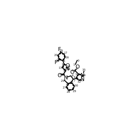 CCOC(=O)c1c(C2CN(C(=O)c3cc(-c4ccc(F)cc4F)on3)Cc3ccccc32)cnn1C